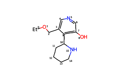 CCOCc1cncc(O)c1C1CCCCN1